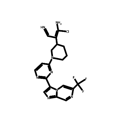 N=C/C(=C(\N)Cl)C1CCCN(c2ccnc(-c3cnc4cnc(C(F)(F)F)cn34)n2)C1